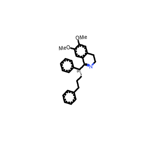 COc1cc2c(cc1OC)C([C@H](CCCc1ccccc1)c1ccccc1)=NCC2